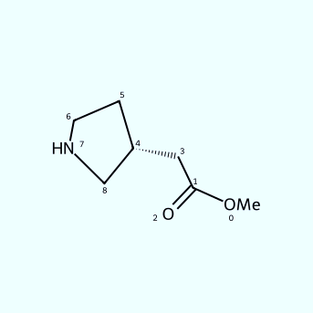 COC(=O)C[C@H]1CCNC1